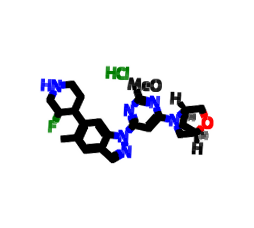 COc1nc(N2C[C@@H]3C[C@H]2CO3)cc(-n2ncc3cc(C)c(C4CCNCC4F)cc32)n1.Cl